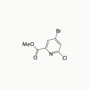 COC(=O)c1cc(Br)cc(Cl)n1